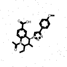 CCC1C(C)[C@H](n2cc(-c3ccc(OC)cc3)nn2)c2cc(C(=O)O)ccc2N1C(C)=O